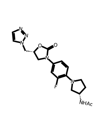 CC(=O)N[C@H]1CCN(c2ccc(N3C[C@H](Cn4ccnn4)OC3=O)cc2F)C1